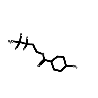 CC1CCC(C(=O)OCCC(F)(F)C(C)(F)F)CC1